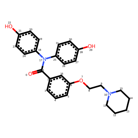 O=C(c1cccc(OCCN2CCCCC2)c1)N(c1ccc(O)cc1)c1ccc(O)cc1